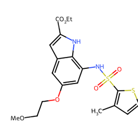 CCOC(=O)c1cc2cc(OCCOC)cc(NS(=O)(=O)c3sccc3C)c2[nH]1